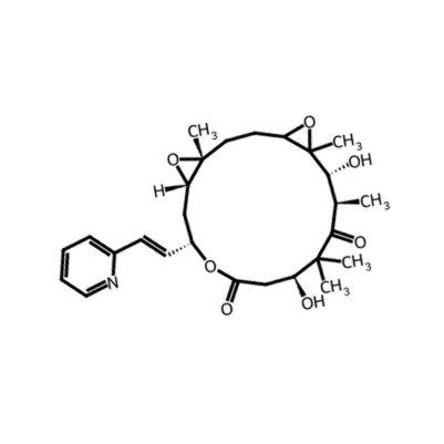 C[C@H]1C(=O)C(C)(C)[C@@H](O)CC(=O)O[C@H](C=Cc2ccccn2)C[C@@H]2O[C@]2(C)CCC2OC2(C)[C@@H]1O